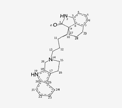 O=C1Nc2cccc3c2C1(CCCCN1CCc2c([nH]c4ccccc24)C1)CCC3